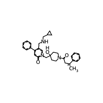 C[C@H](CC(=O)N1CCC(O)(Cn2cc(CNCC3CC3)c(-c3ccccc3)cc2=O)CC1)c1ccccc1